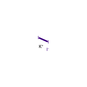 II.[I-].[K+]